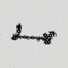 CC[N+]1=c2cc3c(cc2C(C)CC1(C)C)=C(c1ccccc1C(=O)N(C)CCCC(=O)NCCCOCCOCCOCCOCCC(NCc1ccc(-c2nnc(C)nn2)cc1)=C1OCC(C)(C)CO1)c1cc2c4c(c1C3(C)C)CCCN4CCC2